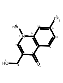 CCCCn1cc(CO)c(=O)c2ccc(C(F)(F)F)cc21